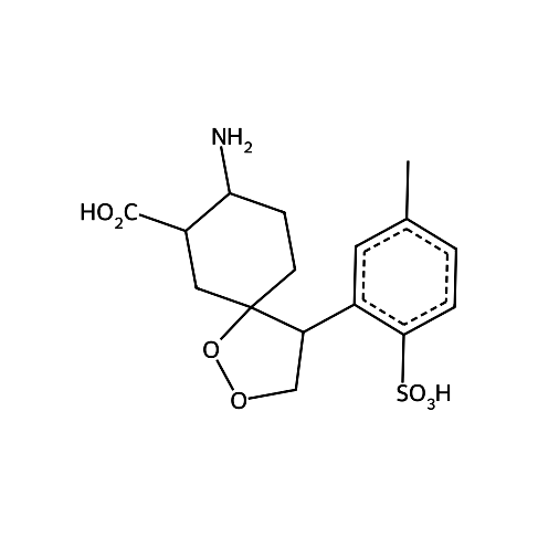 Cc1ccc(S(=O)(=O)O)c(C2COOC23CCC(N)C(C(=O)O)C3)c1